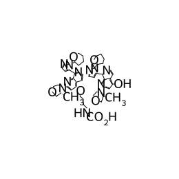 C[C@@H]1COCCN1c1cc(O)c2ccnc(-c3ccnn3C3CCCCO3)c2n1.C[C@@H]1COCCN1c1cc(OCCCCNC(=O)O)c2ccnc(-c3ccnn3C3CCCCO3)c2n1